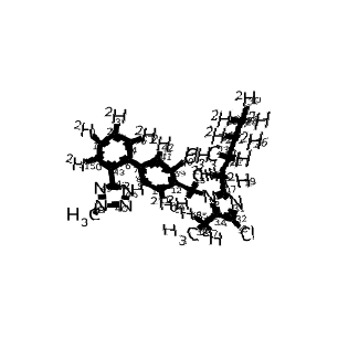 [2H]c1c([2H])c([2H])c(-c2c([2H])c([2H])c(C([2H])(C)n3c(C([2H])([2H])C([2H])(C)C([2H])([2H])C([2H])([2H])[2H])nc(Cl)c3C([2H])([2H])C)c(C)c2[2H])c(-c2nnn(C)n2)c1[2H]